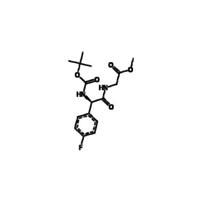 COC(=O)CNC(=O)[C@H](NC(=O)OC(C)(C)C)c1ccc(F)cc1